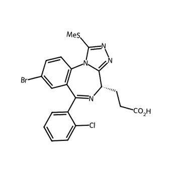 CSc1nnc2n1-c1ccc(Br)cc1C(c1ccccc1Cl)=N[C@H]2CCC(=O)O